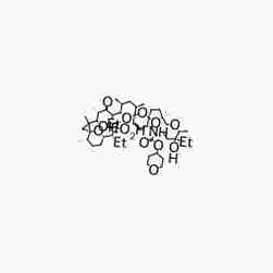 CC[C@@H](C(=O)[C@@H](C)[C@@H](O)C1(C)C[C@]12O[C@@H]([C@@H](CC)C(=O)O)CC[C@@H]2C)[C@H]1O[C@]2(C=C[C@@H](NC(=O)OC3CCOCC3)[C@]3(CC[C@@](C)([C@H]4CC[C@](O)(CC)[C@H](C)O4)O3)O2)[C@H](C)C[C@@H]1C